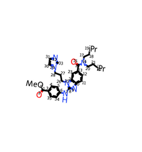 COC(=O)c1ccc(Nc2nc3ccc(C(=O)N(CCC(C)C)CCC(C)C)cc3n2CCCn2ccnc2)cc1